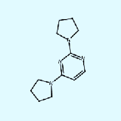 c1cc(N2CCCC2)nc(N2CCCC2)n1